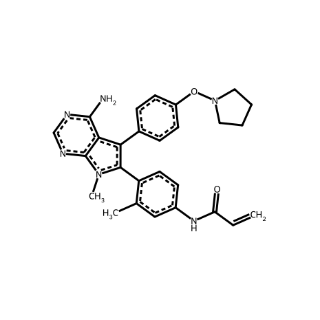 C=CC(=O)Nc1ccc(-c2c(-c3ccc(ON4CCCC4)cc3)c3c(N)ncnc3n2C)c(C)c1